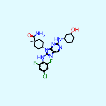 C[C@]1(C(N)=O)CC[C@H](n2c(Nc3c(F)cc(Cl)cc3F)nc3cnc(N[C@@H]4CCC[C@H](O)C4)nc32)CC1